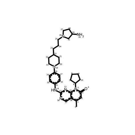 Cc1cc(=O)n(C2CCCC2)c2nc(Nc3ccc(N4CCC(CCCN5CCC(N)C5)CC4)cc3)ncc12